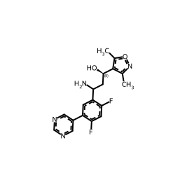 Cc1noc(C)c1[C@H](O)CC(N)c1cc(-c2cncnc2)c(F)cc1F